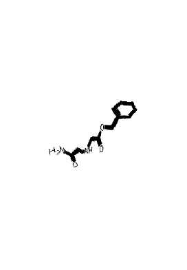 NC(=O)CNCC(=O)OCc1ccccc1